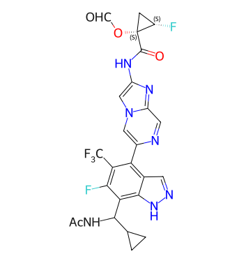 CC(=O)NC(c1c(F)c(C(F)(F)F)c(-c2cn3cc(NC(=O)[C@@]4(OC=O)C[C@@H]4F)nc3cn2)c2cn[nH]c12)C1CC1